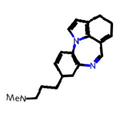 CNCCCC1C=CC2=C(C1)N=CC1=CCCc3ccn2c31